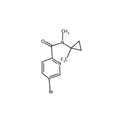 CN(C(=O)c1ccc(Br)cn1)C1(C(F)(F)F)CC1